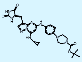 CC(C)(C)OC(=O)N1CCN(c2ccc(Nc3cc(NC4CC4)n4ncc(/C=C5\NC(=O)NC5=O)c4n3)cc2)CC1